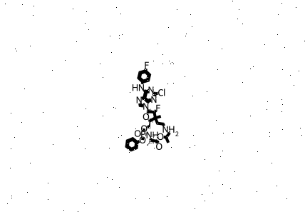 CC(C)OC(=O)[C@H](C)NP(=O)(OC[C@H]1O[C@@H](n2cnc3c(Nc4ccc(F)cc4)nc(Cl)nc32)C(F)C1(C)CCN)Oc1ccccc1